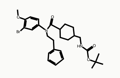 COc1ccc(N(CCc2ccccc2)C(=O)C2CCC(CNC(=O)OC(C)(C)C)CC2)cc1Br